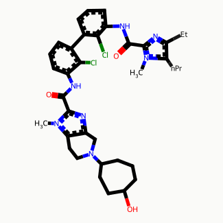 CCCc1c(CC)nc(C(=O)Nc2cccc(-c3cccc(NC(=O)c4nc5c(n4C)CCN(C4CCCC(O)CC4)C5)c3Cl)c2Cl)n1C